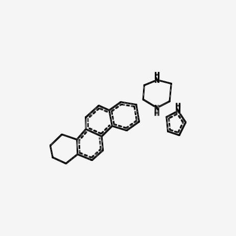 C1CNCCN1.c1cc[nH]c1.c1ccc2c(c1)ccc1c3c(ccc12)CCCC3